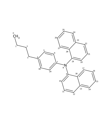 CCCCc1ccc(N(c2cccc3ccccc23)c2cccc3ccccc23)cc1